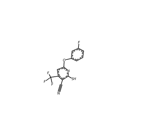 N#Cc1c(C(F)(F)F)cc(Oc2cccc(F)c2)nc1S